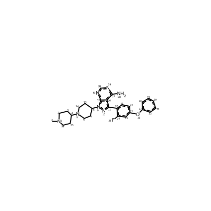 CN1CCC(N2CCC(n3nc(-c4ccc(Oc5ccccc5)cc4F)c4c(N)ncnc43)CC2)CC1